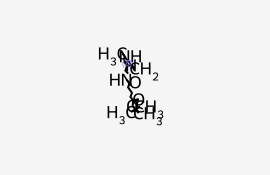 C=N/C(=C\NC)CCNC(=O)CCCC(=O)OC(C)(C)C